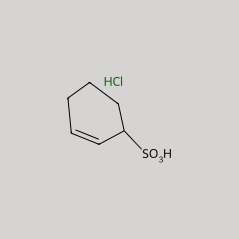 Cl.O=S(=O)(O)C1C=CCCC1